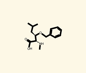 CN[C@H](C(=O)O)[C@@H](CC(C)C)OCc1ccccc1